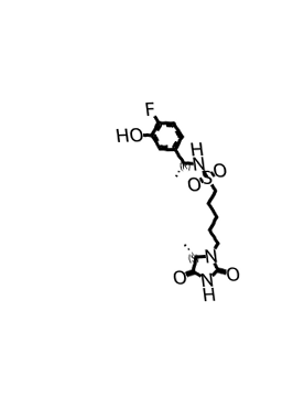 C[C@@H](NS(=O)(=O)CCCCCN1C(=O)NC(=O)[C@@H]1C)c1ccc(F)c(O)c1